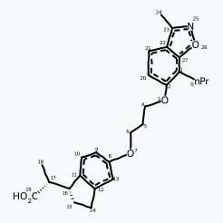 CCCc1c(OCCCOc2ccc3c(c2)CC[C@@H]3[C@@H](C)C(=O)O)ccc2c(C)noc12